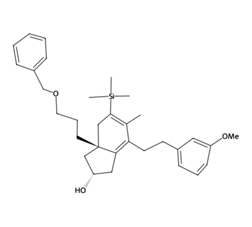 COc1cccc(CCC2=C3C[C@H](O)C[C@]3(CCCOCc3ccccc3)CC([Si](C)(C)C)=C2C)c1